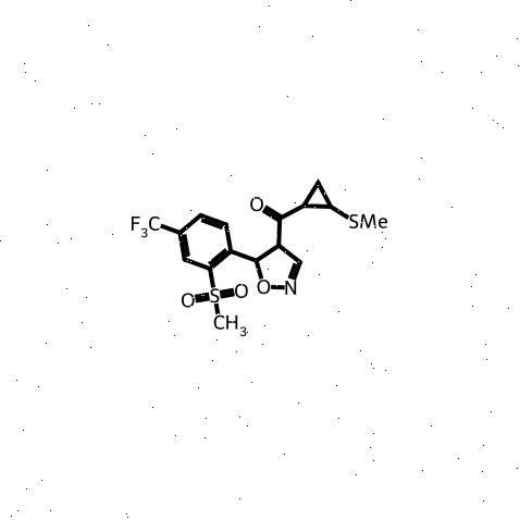 CSC1CC1C(=O)C1C=NOC1c1ccc(C(F)(F)F)cc1S(C)(=O)=O